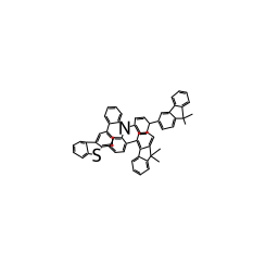 CC1(C)c2ccccc2-c2cc(C3C=CC(N(c4ccccc4-c4ccc5sc6ccccc6c5c4)c4ccccc4-c4cccc5c4-c4ccccc4C5(C)C)=CC3)ccc21